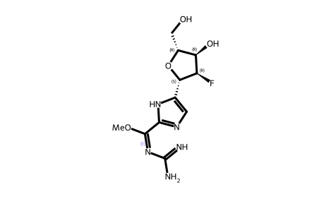 CO/C(=N/C(=N)N)c1ncc([C@@H]2O[C@H](CO)[C@@H](O)[C@H]2F)[nH]1